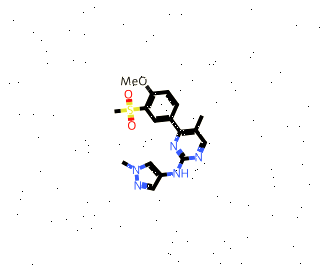 COc1ccc(-c2nc(Nc3cnn(C)c3)ncc2C)cc1S(C)(=O)=O